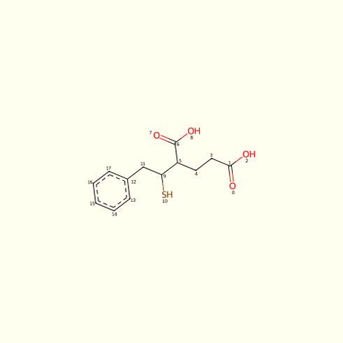 O=C(O)CCC(C(=O)O)C(S)Cc1ccccc1